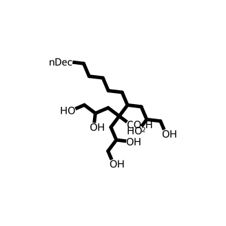 CCCCCCCCCCCCCCCC(CC(O)CO)C(CC(O)CO)(CC(O)CO)C(=O)O